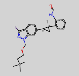 C[C@]1(c2ccccc2NC=O)C[C@H]1c1ccc2c(I)nn(COCC[Si](C)(C)C)c2c1